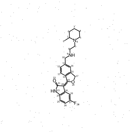 CC1CCCCN1CCNCc1ccc2c(c1)COC2=C1C(=O)Nc2ccc(F)cc21